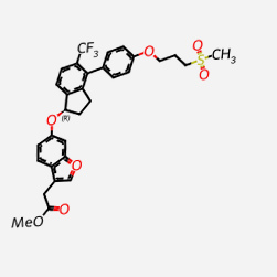 COC(=O)Cc1coc2cc(O[C@@H]3CCc4c3ccc(C(F)(F)F)c4-c3ccc(OCCCS(C)(=O)=O)cc3)ccc12